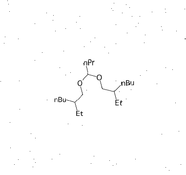 [CH2]CCC(OCC(CC)CCCC)OCC(CC)CCCC